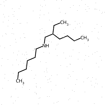 CCCCC[CH]NCC(CC)CCCC